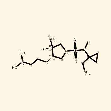 CN(C1(CN)CC1)S(=O)(=O)N1C[C@H](CCCB(O)O)[C@@](C)(N)C1